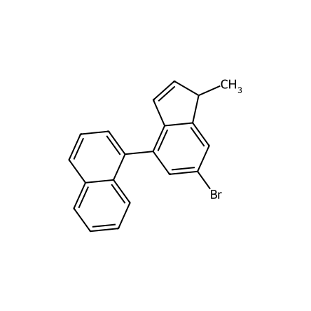 CC1C=Cc2c(-c3cccc4ccccc34)cc(Br)cc21